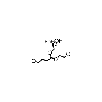 OCCCC(OCCO)OCCO.[BaH2]